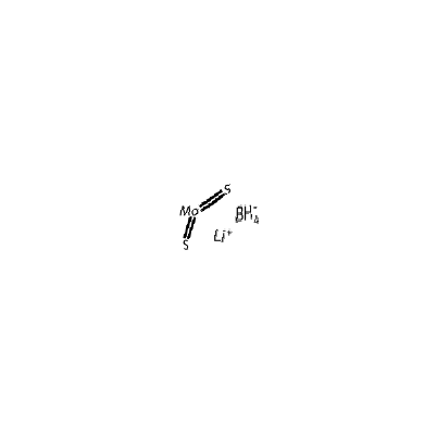 [BH4-].[Li+].[S]=[Mo]=[S]